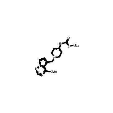 CSc1ncnn2ccc(CN3CCC(NC(=O)OC(C)(C)C)CC3)c12